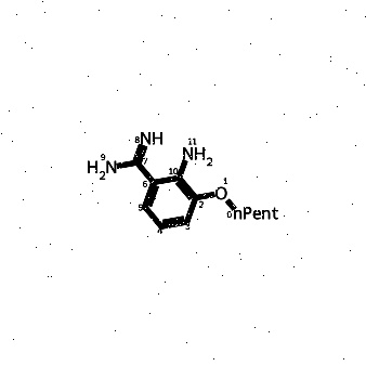 CCCCCOc1cccc(C(=N)N)c1N